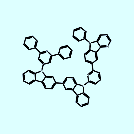 c1ccc(-c2cc(-n3c4ccccc4c4ccc(-c5ccc6c(c5)c5ccccc5n6-c5cccc(-c6ccc7c(c6)c6ncccc6n7-c6ccccc6)n5)cc43)cc(-c3ccccc3)n2)cc1